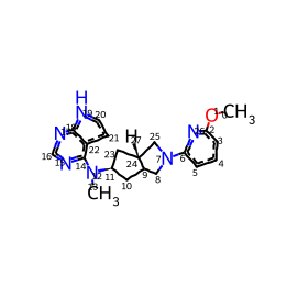 COc1cccc(N2CC3C[C@@H](N(C)c4ncnc5[nH]ccc45)C[C@@H]3C2)n1